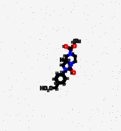 CC(C)(C)OC(=O)N1CCN2C(=O)N(c3ccc(CC(=O)O)cc3)C[C@@H]2C1